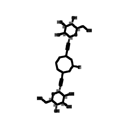 OC[C@H]1O[C@H](C#CC2CCCC(C#C[C@H]3O[C@H](CO)[C@@H](O)[C@H](O)[C@@H]3O)CC(Cl)C2)[C@@H](O)[C@@H](O)[C@@H]1O